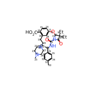 CCC[C@@H](NC(=O)N1C(=O)C(CC)(CC)[C@@H]1Oc1ccc(C(=O)O)c(CCN2CCN(C)CC2)c1)c1ccc(C)cc1